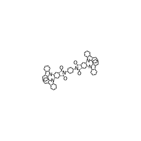 O=C1c2cc(-n3c4ccccc4c4ccccc43)c(-n3c4ccccc4c4ccccc43)cc2C(=O)N1c1ccc(N2C(=O)c3cc(-n4c5ccccc5c5ccccc54)c(-n4c5ccccc5c5ccccc54)cc3C2=O)cc1